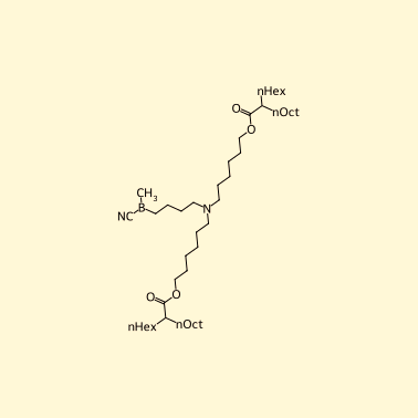 CCCCCCCCC(CCCCCC)C(=O)OCCCCCCN(CCCCCCOC(=O)C(CCCCCC)CCCCCCCC)CCCCB(C)C#N